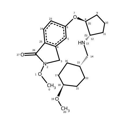 CON1Cc2cc(O[C@H]3CCC[C@@H]3NC[C@H]3CC[C@H](OC)CC3)ccc2C1=O